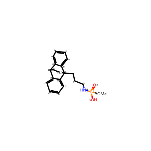 COP(=O)(O)NCCCC12CCC(c3ccccc31)c1ccccc12